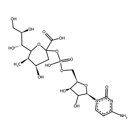 C[C@H]1C([C@H](O)[C@H](O)CO)OC(OP(=O)(O)OC[C@H]2O[C@@H](n3ccc(N)nc3=O)C(O)[C@H]2O)(C(=O)O)C[C@H]1O